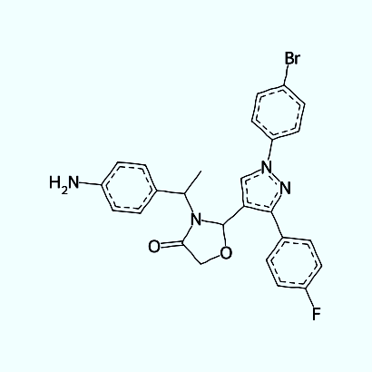 CC(c1ccc(N)cc1)N1C(=O)COC1c1cn(-c2ccc(Br)cc2)nc1-c1ccc(F)cc1